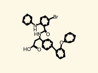 O=C(O)CC(NC(=O)c1cc(Br)ccc1Nc1ccccc1)c1ccc(-c2ccccc2Oc2ccccc2)cc1